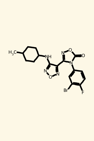 CC1CCC(Nc2nonc2-c2noc(=O)n2-c2ccc(F)c(Br)c2)CC1